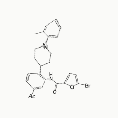 CC(=O)c1ccc(C2CCN(c3ccccc3C)CC2)c(NC(=O)c2ccc(Br)o2)c1